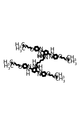 CN(C)CCCOc1ccc2nc(-c3ccc(-c4nc5ccc(OCCCN(C)C)cc5[nH]4)c4[nH]c(CCCCc5nc6c(-c7nc8ccc(OCCCN(C)C)cc8[nH]7)ccc(-c7nc8ccc(OCCCN(C)C)cc8[nH]7)c6[nH]5)nc34)[nH]c2c1